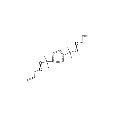 C=CCOOC(C)(C)c1ccc(C(C)(C)OOCC=C)cc1